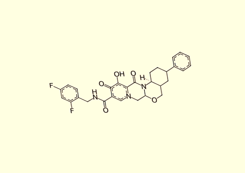 O=C(NCc1ccc(F)cc1F)c1cn2c(c(O)c1=O)C(=O)N1C(C2)OCC2CC(c3ccccc3)CC[C@@H]21